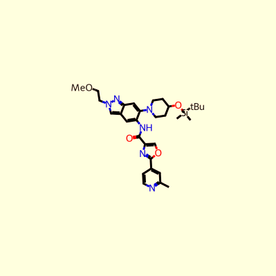 COCCn1cc2cc(NC(=O)c3coc(-c4ccnc(C)c4)n3)c(N3CCC(O[Si](C)(C)C(C)(C)C)CC3)cc2n1